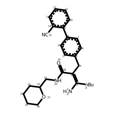 CCCC/C(N)=C(\Cc1ccc(-c2ccccc2C#N)cc1)C(=O)NCC1CCCCO1